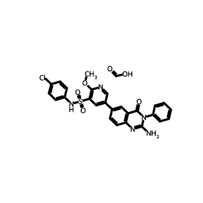 COc1ncc(-c2ccc3nc(N)n(-c4ccccc4)c(=O)c3c2)cc1S(=O)(=O)Nc1ccc(Cl)cc1.O=CO